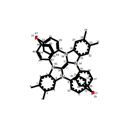 Cc1cc2c(cc1C)N(c1ccc(F)cc1)/C(=C1/N(C3=CC=C(F)CC3)c3cc(C)c(C)cc3N1c1ccc(F)cc1)N2C1=C=C=C(F)C=C1